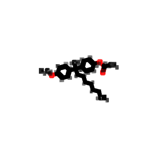 CCCCCCCC(C)(c1ccc(OC)cc1)c1ccc(OC(C)=O)cc1